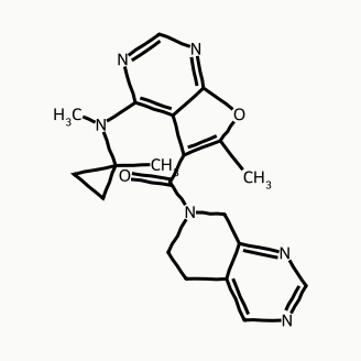 Cc1oc2ncnc(N(C)C3(C)CC3)c2c1C(=O)N1CCc2cncnc2C1